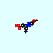 CCCOc1ccc2nc(N(Cc3ccc(C(=O)O)cc3)C3CCC(C(C)(C)C)CC3)n(C)c2c1